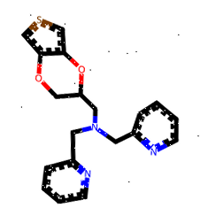 c1ccc(CN(Cc2ccccn2)CC2COc3cscc3O2)nc1